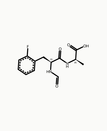 C[C@@H](NC(=O)[C@H](Cc1ccccc1F)NC=O)C(=O)O